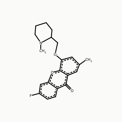 Cc1cc(OCC2CCCCN2C)c2oc3cc(F)ccc3c(=O)c2c1